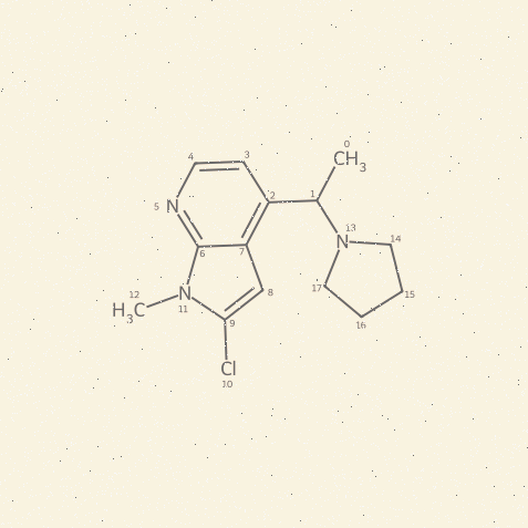 CC(c1ccnc2c1cc(Cl)n2C)N1CCCC1